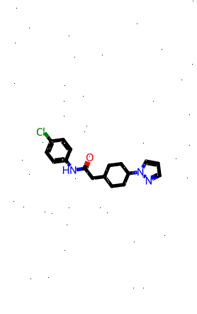 O=C(CC1CCC(n2cccn2)CC1)Nc1ccc(Cl)cc1